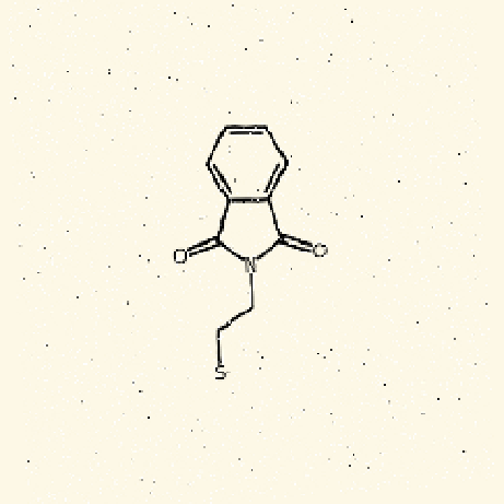 O=C1c2ccccc2C(=O)N1CC[S]